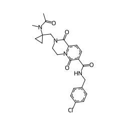 CC(=O)N(C)C1(CN2CCn3c(ccc(C(=O)NCc4ccc(Cl)cc4)c3=O)C2=O)CC1